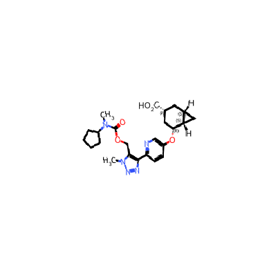 CN(C(=O)OCc1c(-c2ccc(O[C@@H]3C[C@H](C(=O)O)C[C@@H]4C[C@@H]43)cn2)nnn1C)C1CCCC1